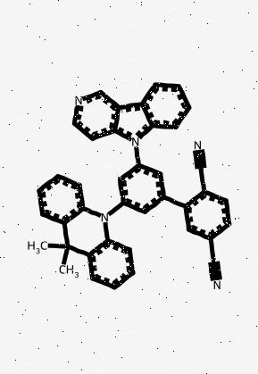 CC1(C)c2ccccc2N(c2cc(-c3cc(C#N)ccc3C#N)cc(-n3c4ccccc4c4cnccc43)c2)c2ccccc21